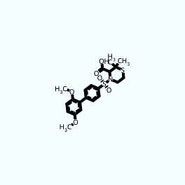 COc1ccc(OC)c(-c2ccc(S(=O)(=O)N3CCSC(C)(C)C3C(=O)O)cc2)c1